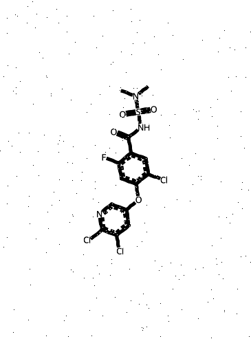 CN(C)S(=O)(=O)NC(=O)c1cc(Cl)c(Oc2cnc(Cl)c(Cl)c2)cc1F